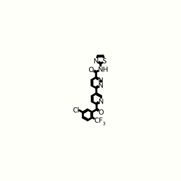 O=C(Nc1nccs1)c1ccc(-c2ccc(C(=O)c3cc(Cl)ccc3C(F)(F)F)nc2)nn1